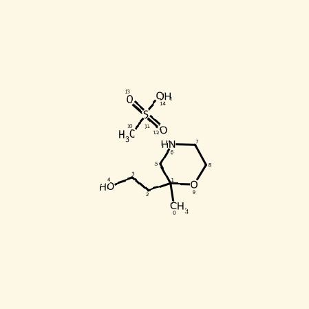 CC1(CCO)CNCCO1.CS(=O)(=O)O